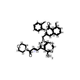 Cc1ccccc1-n1c(CN2N=C(/C=C/C(=O)N3CCOCC3)C3=C=C2N=CN=C3N)cc2cccc(C)c2c1=O